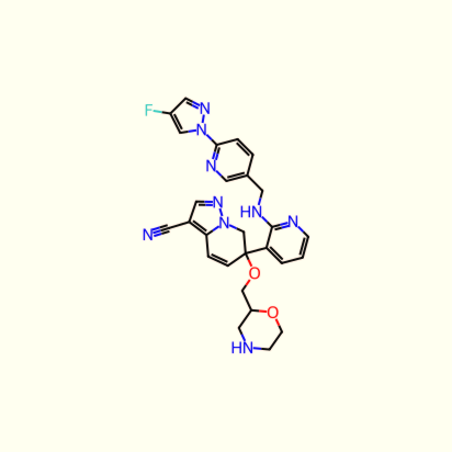 N#Cc1cnn2c1C=CC(OCC1CNCCO1)(c1cccnc1NCc1ccc(-n3cc(F)cn3)nc1)C2